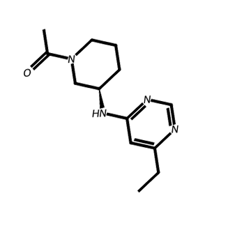 CCc1cc(N[C@@H]2CCCN(C(C)=O)C2)ncn1